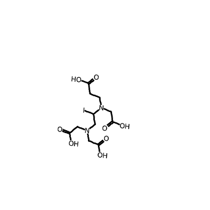 O=C(O)CCN(CC(=O)O)C(I)CN(CC(=O)O)CC(=O)O